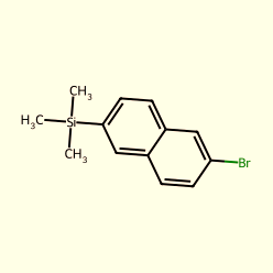 C[Si](C)(C)c1ccc2cc(Br)ccc2c1